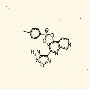 Cc1ccc(S(=O)(=O)Oc2nc(-c3nonc3N)nc3cnccc23)cc1